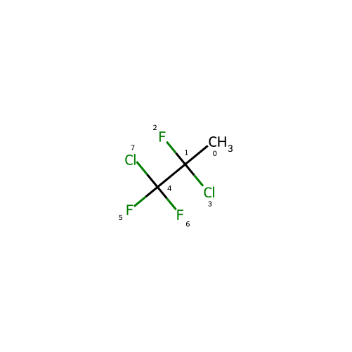 CC(F)(Cl)C(F)(F)Cl